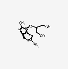 Cc1nc2cnc(N)nc2n1OC(CO)CO